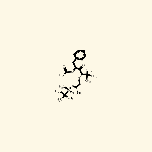 C[C@@H](CN[C@H](C(=O)C(Cc1ccccc1)OC(N)=O)C(C)(C)C)O[Si](C)(C)C(C)(C)C